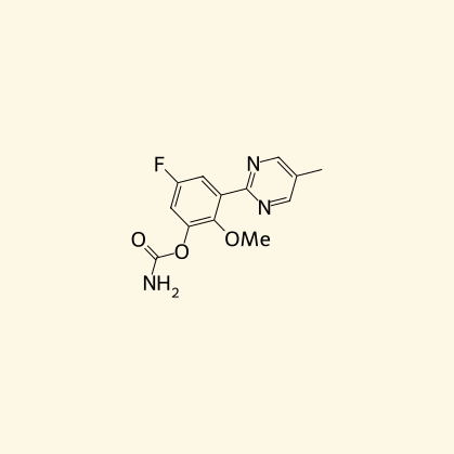 COc1c(OC(N)=O)cc(F)cc1-c1ncc(C)cn1